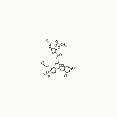 CS(=O)(=O)Oc1cc(C(=O)OCC(=O)O[C@@H](Cc2c(Cl)c[n+]([O-])cc2Cl)c2ccc(OC(F)F)c(OCC3CC3)c2)ccc1OCC1CC1